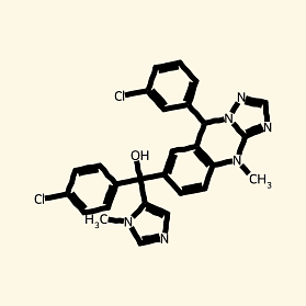 CN1c2ccc(C(O)(c3ccc(Cl)cc3)c3cncn3C)cc2C(c2cccc(Cl)c2)n2ncnc21